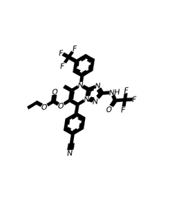 CCOC(=O)OC1=C(C)N(c2cccc(C(F)(F)F)c2)c2nc(NC(=O)C(F)(F)F)nn2C1c1ccc(C#N)cc1